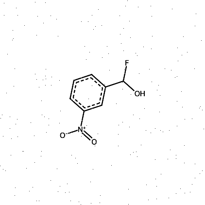 O=[N+]([O-])c1cccc(C(O)F)c1